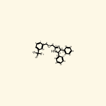 FC(F)(F)c1cccc(COCC2=NC(c3ccccc3)C(c3ccccc3)N2)c1